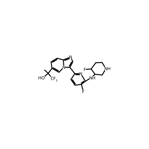 CC(O)(c1ccc2ncc(-c3ccc(F)c(NC4CNCCC4F)n3)n2c1)C(F)(F)F